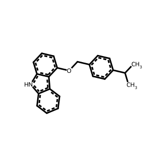 CC(C)c1ccc(COc2cccc3[nH]c4ccccc4c23)cc1